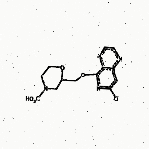 O=C(O)N1CCOC(COc2nc(Cl)cc3nccnc23)C1